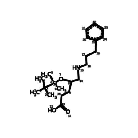 CC(C)(C)[Si](C)(C)OC(CCC(=O)O)CNCCCc1ccccc1